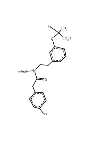 CCCCCCCN(CCc1cccc(OC(C)(CC)C(=O)O)c1)C(=O)Cc1ccc(C(C)C)cc1